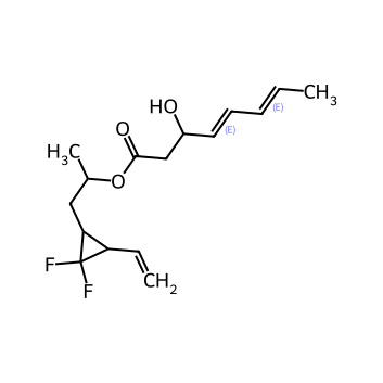 C=CC1C(CC(C)OC(=O)CC(O)/C=C/C=C/C)C1(F)F